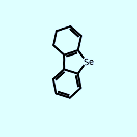 C1=Cc2[se]c3ccccc3c2CC1